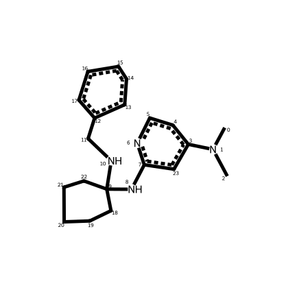 CN(C)c1ccnc(NC2(NCc3ccccc3)CCCCC2)c1